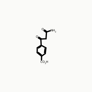 NC(=O)CC(=O)c1ccc(C(=O)O)cc1